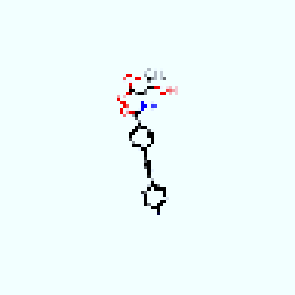 C[C@@H](O)[C@H](NC(=O)c1ccc(C#Cc2ccc(I)cc2)cc1)C(=O)O